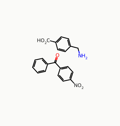 NCc1ccc(C(=O)O)cc1.O=C(c1ccccc1)c1ccc([N+](=O)[O-])cc1